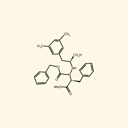 COC(=O)[C@H](Cc1ccccc1)N(N[C@@H](Cc1cc(C)cc(C)c1)C(=O)O)C(=O)OCc1ccccc1